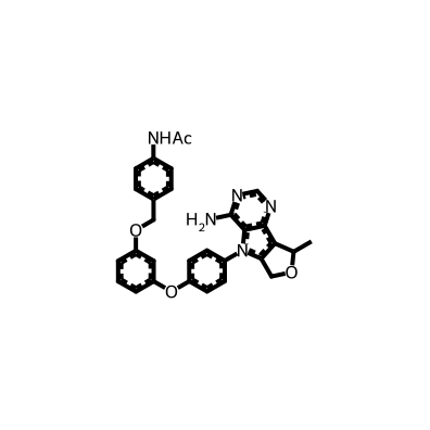 CC(=O)Nc1ccc(COc2cccc(Oc3ccc(-n4c5c(c6ncnc(N)c64)C(C)OC5)cc3)c2)cc1